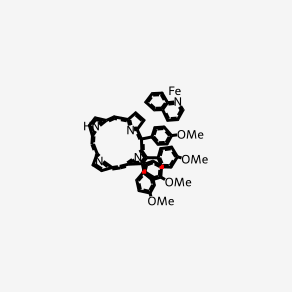 COc1ccc(-c2c(-c3ccc(OC)cc3)c3c(-c4ccc(OC)cc4)c4nc(cc5ccc(cc6nc(cc2n3-c2ccc(OC)cc2)C=C6)[nH]5)C=C4)cc1.[Fe].c1ccc2ncccc2c1